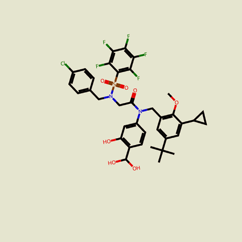 COc1c(CN(C(=O)CN(Cc2ccc(Cl)cc2)S(=O)(=O)c2c(F)c(F)c(F)c(F)c2F)c2ccc(C(O)O)c(O)c2)cc(C(C)(C)C)cc1C1CC1